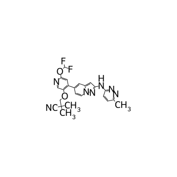 Cc1ccc(Nc2cc3cc(-c4cc(OC(F)F)ncc4OCC(C)(C)C#N)ccn3n2)nn1